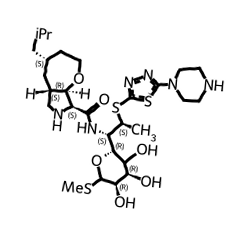 CSC1O[C@H]([C@H](NC(=O)[C@H]2NC[C@@H]3C[C@H](CC(C)C)CCO[C@H]32)[C@H](C)Sc2nnc(N3CCNCC3)s2)C(O)[C@@H](O)[C@H]1O